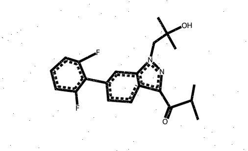 CC(C)C(=O)c1nn(CC(C)(C)O)c2cc(-c3c(F)cccc3F)ccc12